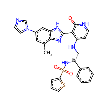 Cc1cc(-n2ccnc2)cc2[nH]c(-c3c(NC[C@@H](NS(=O)(=O)c4cccs4)c4ccccc4)cc[nH]c3=O)nc12